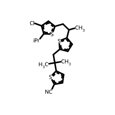 CC(C)c1sc(CC(C)c2ccc(CC(C)(C)c3ccc(C#N)s3)s2)cc1Cl